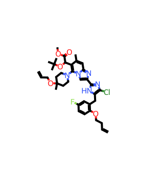 C=CCCOc1ccc(F)cc1Cc1[nH]c(-c2cn3c(N4CCC(C)(OCC=C)CC4)c(C(OC(C)(C)C)C(=O)OC)c(C)cc3n2)nc1Cl